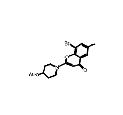 COC1CCN(c2cc(=O)c3cc(C)cc(Br)c3o2)CC1